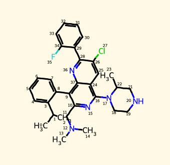 CC(C)c1ccccc1-c1c(CN(C)C)nc(N2CCNCC2C)c2cc(Cl)c(-c3ccccc3F)nc12